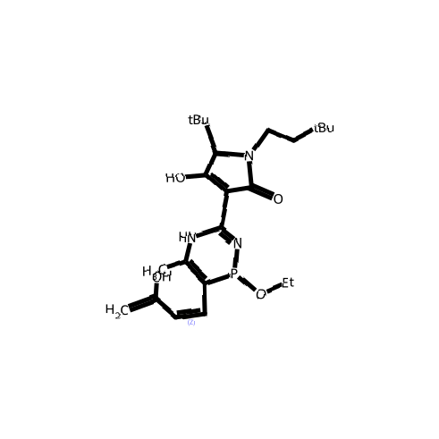 C=C(O)/C=C\C1=C(C)NC(C2=C(O)C(C(C)(C)C)N(CCC(C)(C)C)C2=O)=NP1OCC